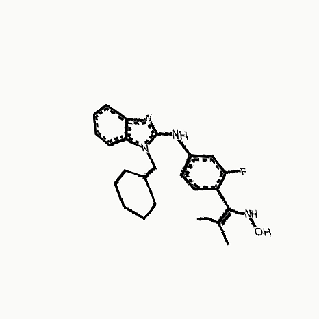 CC(C)=C(NO)c1ccc(Nc2nc3ccccc3n2CC2CCCCC2)cc1F